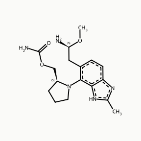 CO[C@H](N)Cc1ccc2nc(C)[nH]c2c1N1CCC[C@H]1COC(N)=O